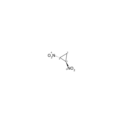 O=[N+]([O-])[C@@H]1C[C@H]1[N+](=O)[O-]